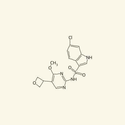 COc1nc(NS(=O)(=O)c2c[nH]c3cc(Cl)ccc23)ncc1C1COC1